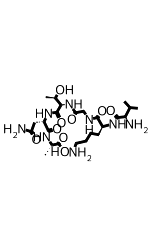 CC(C)[C@H](N)C(=O)N[C@@H](CCCCN)C(=O)NCC(=O)N[C@H](C(=O)N[C@@H](CC(N)=O)C(=O)N[C@@H](C)C(=O)O)[C@@H](C)O